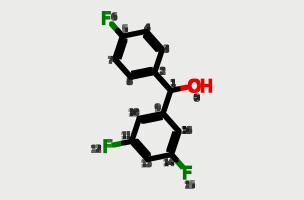 OC(c1ccc(F)cc1)c1cc(F)cc(F)c1